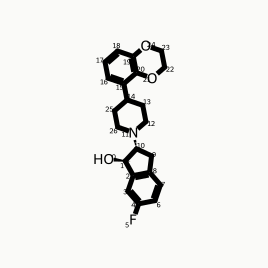 O[C@@H]1c2cc(F)ccc2C[C@H]1N1CCC(c2cccc3c2OCCO3)CC1